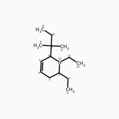 CCC1CC=CC(C(C)(C)CC)N1CC